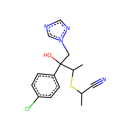 CC(C#N)SC(C)C(O)(Cn1cncn1)c1ccc(Cl)cc1